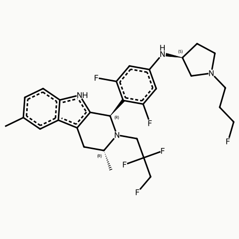 Cc1ccc2[nH]c3c(c2c1)C[C@@H](C)N(CC(F)(F)CF)[C@@H]3c1c(F)cc(N[C@H]2CCN(CCCF)C2)cc1F